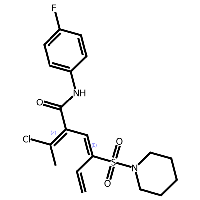 C=C/C(=C\C(C(=O)Nc1ccc(F)cc1)=C(/C)Cl)S(=O)(=O)N1CCCCC1